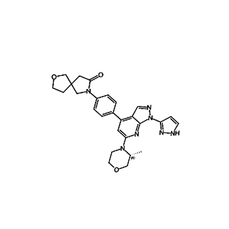 C[C@@H]1COCCN1c1cc(-c2ccc(N3CC4(CCOC4)CC3=O)cc2)c2cnn(-c3cc[nH]n3)c2n1